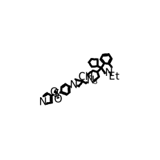 CCN1Cc2ccccc2C(C2CCCC2)(C2CCN(CC3(C)CN(c4ccc(S(=O)(=O)c5ccncc5)cc4)C3)CC2)C1